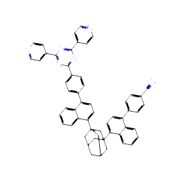 N#Cc1ccc(-c2ccc(C34CC5CC(C3)CC(c3ccc(-c6ccc(-c7nc(-c8ccncc8)nc(-c8ccncc8)n7)cc6)c6ccccc36)(C5)C4)c3ccccc23)cc1